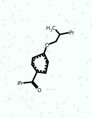 CC(C)C(=O)c1ccc(OCC(C)C(C)C)cc1